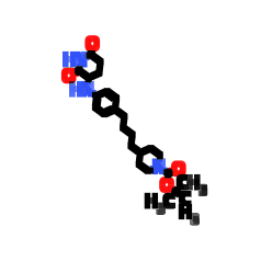 CC(C)(C)OC(=O)N1CCC(CCCCc2ccc(NC3CCC(=O)NC3=O)cc2)CC1